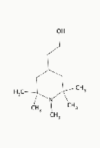 CN1C(C)(C)CC(CCO)CC1(C)C